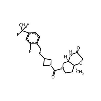 CC(F)(F)c1ccc(CSC2CN(C(=O)N3CC[C@]4(C)OCC(=O)N[C@@H]4C3)C2)c(F)c1